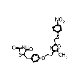 Cc1oc(CSc2ccc([N+](=O)[O-])cc2)nc1CCOc1ccc(CC2SC(=O)NC2=O)cc1